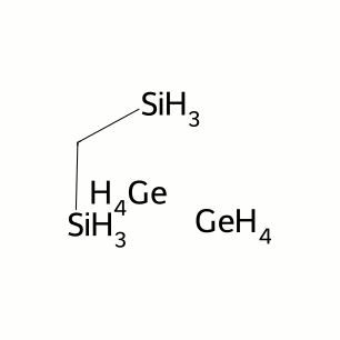 [GeH4].[GeH4].[SiH3]C[SiH3]